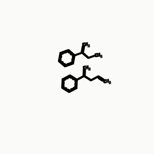 C=C(CC)c1ccccc1.C=CCC(=C)c1ccccc1